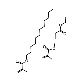 C=C(C)C(=O)OC.C=C(C)C(=O)OCCCCCCCCCCCC.C=CC(=O)OCC